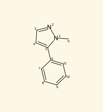 Cn1nccc1-c1[c]cccc1